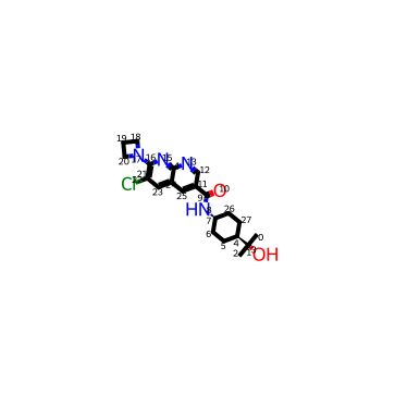 CC(C)(O)[C@H]1CC[C@H](NC(=O)c2cnc3nc(N4CCC4)c(Cl)cc3c2)CC1